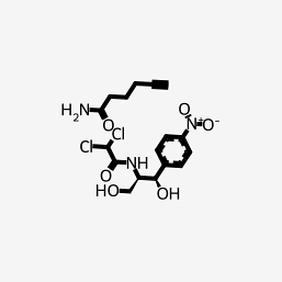 C#CCCCC(N)=O.O=C(N[C@H](CO)[C@H](O)c1ccc([N+](=O)[O-])cc1)C(Cl)Cl